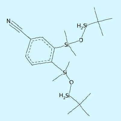 CC(C)(C)[SiH2]O[Si](C)(C)c1ccc(C#N)cc1[Si](C)(C)O[SiH2]C(C)(C)C